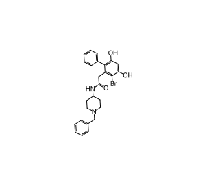 O=C(Cc1c(Br)c(O)cc(O)c1-c1ccccc1)NC1CCN(Cc2ccccc2)CC1